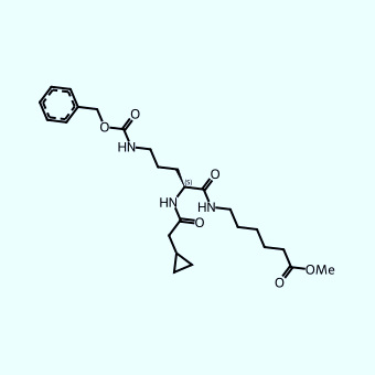 COC(=O)CCCCCNC(=O)[C@H](CCCNC(=O)OCc1ccccc1)NC(=O)CC1CC1